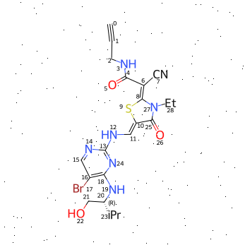 C#CCNC(=O)C(C#N)=c1sc(=CNc2ncc(Br)c(N[C@@H](CO)C(C)C)n2)c(=O)n1CC